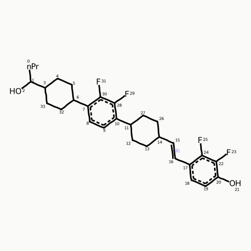 CCCC(O)C1CCC(c2ccc(C3CCC(/C=C/c4ccc(O)c(F)c4F)CC3)c(F)c2F)CC1